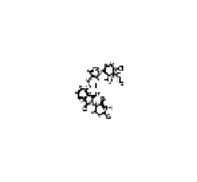 CC1(C)C[C@H](n2cc(CNc3cccc4c3C(=O)N(C3CCC(=O)NC3=O)C4=O)cn2)CCN1Cl